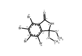 COC1(OC)NC(=O)c2c(Br)c(Br)c(Br)c(Br)c21